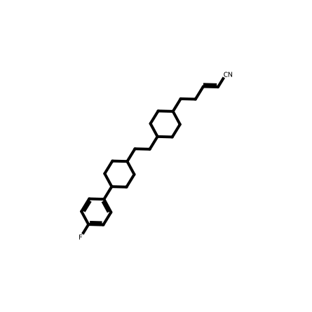 N#CC=CCCC1CCC(CCC2CCC(c3ccc(F)cc3)CC2)CC1